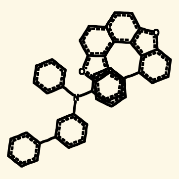 c1ccc(-c2cccc(N(c3ccccc3)c3ccc(-c4cccc5oc6ccc7ccc8oc9ccccc9c8c7c6c45)cc3)c2)cc1